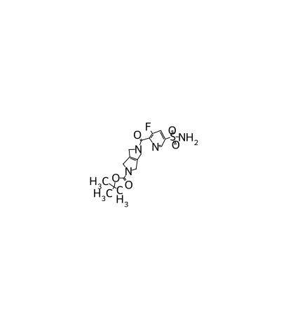 CC(C)(C)OC(=O)N1CC2=C(C1)CN(C(=O)c1ncc(S(N)(=O)=O)cc1F)C2